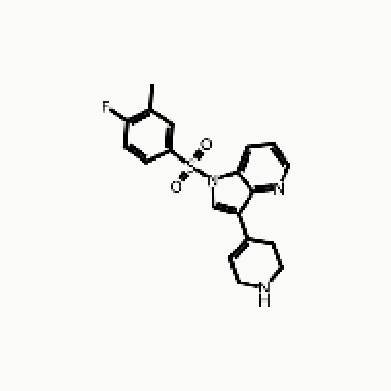 Cc1cc(S(=O)(=O)n2cc(C3=CCNCC3)c3ncccc32)ccc1F